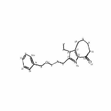 CCn1c(CCCOCc2ccccc2)nc2c1CCCCC2=O